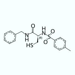 Cc1ccc(S(=O)(=O)N[C@@H](CS)C(=O)NCc2ccccc2)cc1